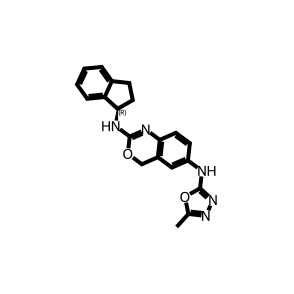 Cc1nnc(Nc2ccc3c(c2)COC(N[C@@H]2CCc4ccccc42)=N3)o1